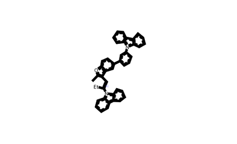 CC/C(=C\c1c(C)oc2ccc(-c3cccc(-n4c5ccccc5c5ccccc54)c3)cc12)n1c2ccccc2c2ccccc21